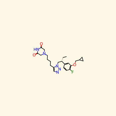 CC[C@@H](Cn1nncc1CCCCN1CC(=O)NC(=O)C1)c1ccc(F)c(OCC2CC2)c1